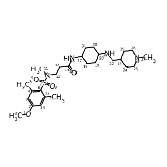 COc1cc(C)c(S(=O)(=O)N(C)CCC(=O)NC2CCC(NCC3CCN(C)CC3)CC2)c(C)c1